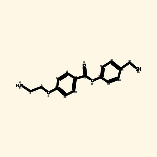 NCCOc1ccc(C(=O)Oc2ccc(CS)cc2)cc1